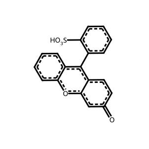 O=c1ccc2c(-c3ccccc3S(=O)(=O)O)c3ccccc3oc-2c1